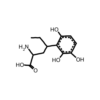 CCC(CC(N)C(=O)O)c1c(O)ccc(O)c1O